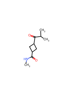 CNC(=O)C1CC(C(=O)C(C)C)C1